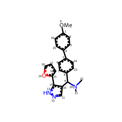 COc1ccc(-c2ccc(C(c3cn[nH]c3-c3ccco3)N(C)C)cc2)cc1